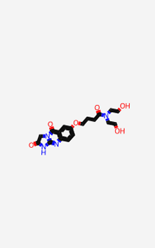 O=C1Cn2c(nc3ccc(OCCCC(=O)N(CCO)CCO)cc3c2=O)N1